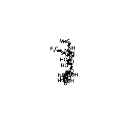 CSCCNc1nc(SCCC(F)(F)F)nc2c1ncn2[C@@H]1O[C@H](CCOP(=O)(O)OP(=O)(O)C(Cl)(Cl)P(=O)(O)O)[C@@H](O)[C@H]1O